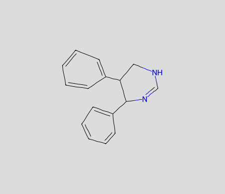 C1=NC(c2ccccc2)C(c2ccccc2)CN1